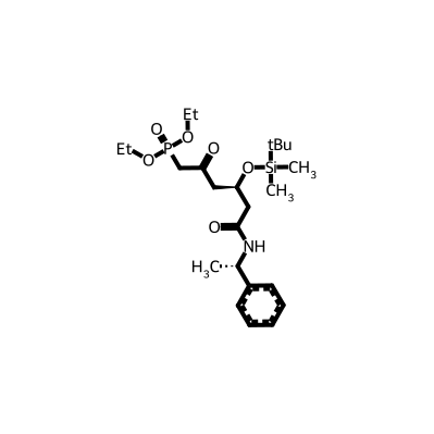 CCOP(=O)(CC(=O)C[C@H](CC(=O)N[C@@H](C)c1ccccc1)O[Si](C)(C)C(C)(C)C)OCC